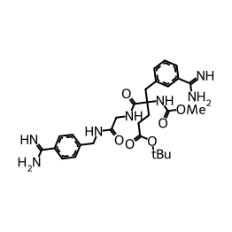 COC(=O)NC(CCC(=O)OC(C)(C)C)(Cc1cccc(C(=N)N)c1)C(=O)NCC(=O)NCc1ccc(C(=N)N)cc1